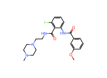 COc1cccc(C(=O)Nc2cccc(F)c2C(=O)NCCN2CCN(C)CC2)c1